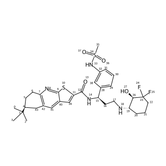 CC(C)(C)[C@H]1CCc2nc3sc(C(=O)N[C@H](CCN[C@H]4CCCC(F)(F)[C@@H]4O)c4cccc(NS(C)(=O)=O)c4)cc3cc2C1